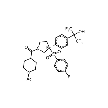 CC(=O)N1CCC(C(=O)N2CC[C@@](c3ccc(C(O)(C(F)(F)F)C(F)(F)F)cc3)(S(=O)(=O)c3ccc(F)cc3)C2)CC1